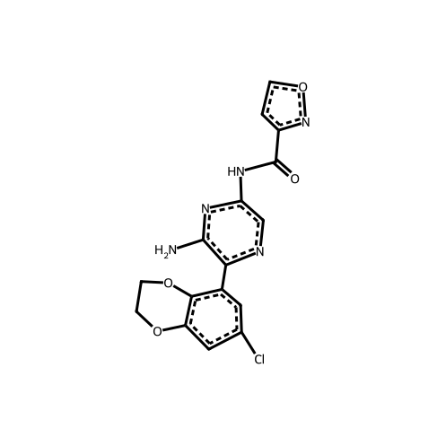 Nc1nc(NC(=O)c2ccon2)cnc1-c1cc(Cl)cc2c1OCCO2